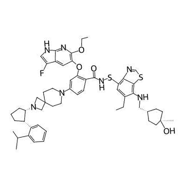 CCOc1nc2[nH]cc(F)c2cc1Oc1cc(N2CCC3(CC2)CN([C@H]2CCC[C@H]2c2ccccc2C(C)C)C3)ccc1C(=O)NSc1cc(CC)c(NC[C@H]2CC[C@](C)(O)CC2)c2scnc12